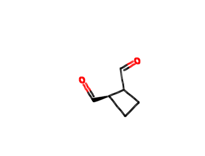 O=CC1CC[C@H]1C=O